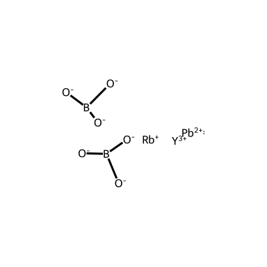 [O-]B([O-])[O-].[O-]B([O-])[O-].[Pb+2].[Rb+].[Y+3]